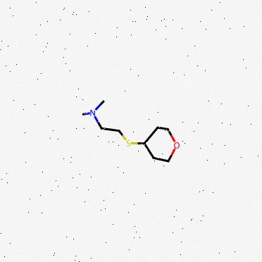 CN(C)CCSC1CCOCC1